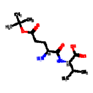 CC(C)[C@H](NC(=O)[C@@H](N)CCC(=O)OC(C)(C)C)C(=O)O